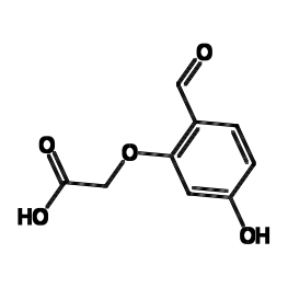 O=Cc1ccc(O)cc1OCC(=O)O